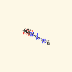 CCC(CC)NCCNCCNCCNCCNCCNC(=O)[C@H](O)[C@@H](O)C(=O)C(CC)(CC)OC